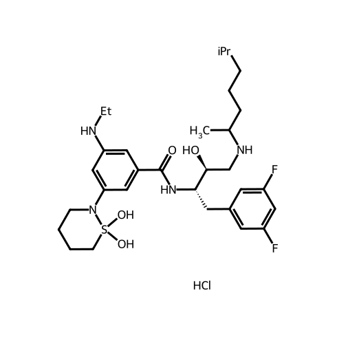 CCNc1cc(C(=O)N[C@@H](Cc2cc(F)cc(F)c2)[C@@H](O)CNC(C)CCCC(C)C)cc(N2CCCCS2(O)O)c1.Cl